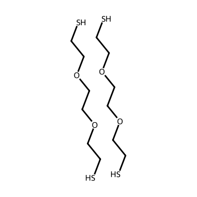 SCCOCCOCCS.SCCOCCOCCS